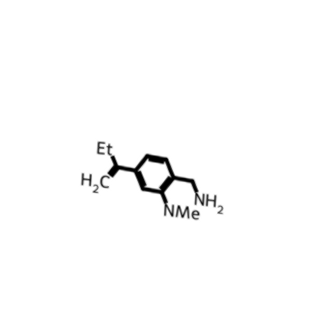 C=C(CC)c1ccc(CN)c(NC)c1